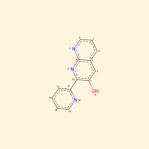 Oc1cc2cccnc2nc1-c1ccccn1